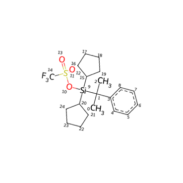 CC(C)(c1ccccc1)[Si](OS(=O)(=O)C(F)(F)F)(C1CCCC1)C1CCCC1